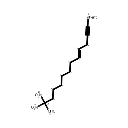 CCCCCC#CCC=CCCCCCCC([C]=O)([N+](=O)[O-])[N+](=O)[O-]